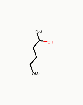 CCCCC(O)CCCOC